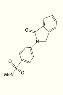 CNS(=O)(=O)c1ccc(N2Cc3ccccc3C2=O)cc1